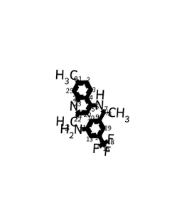 Cc1ccc2c(N[C@H](C)c3cc(N)cc(C(F)(F)F)c3)cc(C)nc2c1